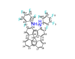 Fc1c(F)c(F)c(Nc2ccc3c(c2)C2(c4ccccc4-3)c3ccccc3-c3ccc(Nc4c(F)c(F)c(F)c(F)c4F)cc32)c(F)c1F